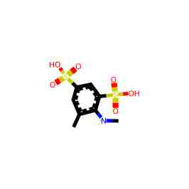 C[N]c1c(C)cc(S(=O)(=O)O)cc1S(=O)(=O)O